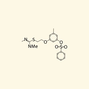 C/N=C(\NC)SCCOc1cc(C)cc(OS(=O)(=O)c2ccccc2)c1